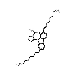 CCCCCCC=Cc1ccc2c(c1)C(C1=[C]CC=C1C(C)C)c1cc(C=CCCCCCC)ccc1-2